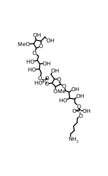 COC1C(OCC(O)C(O)C(O)COP(=O)(O)OC2C(CO)OC(OCC(O)C(O)C(O)COP(=O)(O)OCCCCCN)C2OC)OC(CO)C1O